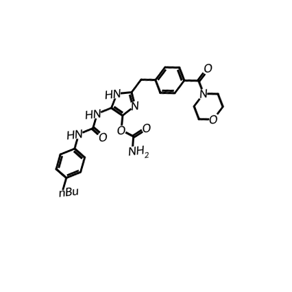 CCCCc1ccc(NC(=O)Nc2[nH]c(Cc3ccc(C(=O)N4CCOCC4)cc3)nc2OC(N)=O)cc1